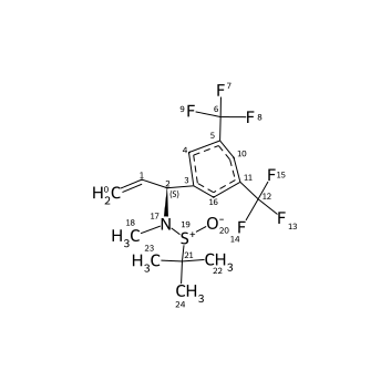 C=C[C@@H](c1cc(C(F)(F)F)cc(C(F)(F)F)c1)N(C)[S+]([O-])C(C)(C)C